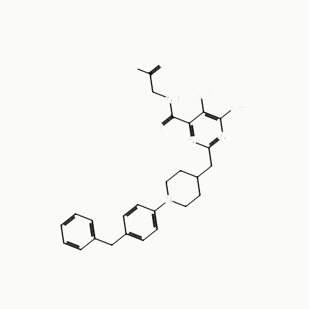 Cc1nc(CC2CCN(c3ccc(Cc4ccccc4)cc3)CC2)nc(C(=O)NCC(=O)O)c1O